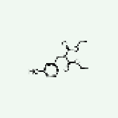 CCOC(=O)C(=Cc1cccc(O)c1)C(=O)OCC